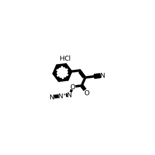 Cl.N#CC(=Cc1ccccc1)C(=O)ON=[N+]=[N-]